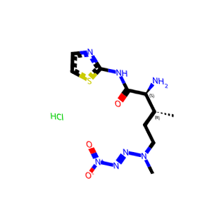 C[C@H](CCN(C)N=N[N+](=O)[O-])[C@H](N)C(=O)Nc1nccs1.Cl